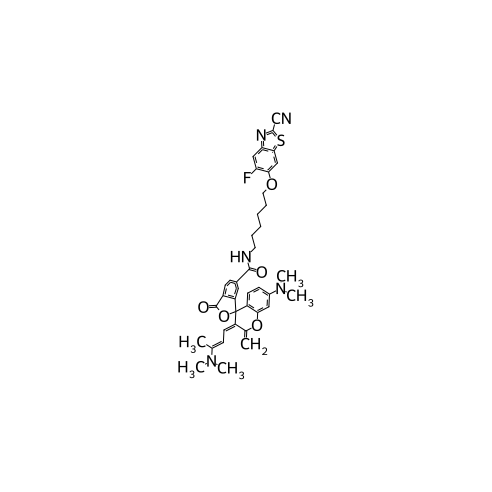 C=C1Oc2cc(N(C)C)ccc2C2(OC(=O)c3ccc(C(=O)NCCCCCCOc4cc5sc(C#N)nc5cc4F)cc32)/C1=C/C=C(\C)N(C)C